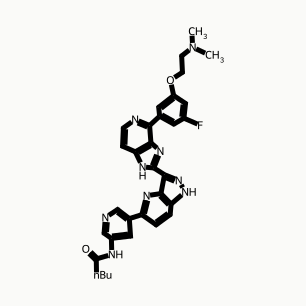 CCCCC(=O)Nc1cncc(-c2ccc3[nH]nc(-c4nc5c(-c6cc(F)cc(OCCN(C)C)c6)nccc5[nH]4)c3n2)c1